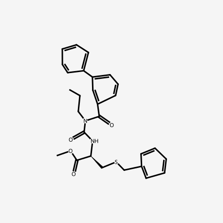 CCCN(C(=O)N[C@@H](CSCc1ccccc1)C(=O)OC)C(=O)c1cccc(-c2ccccc2)c1